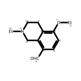 CCOc1ccc(C=O)c2c1CCN(CC)C2